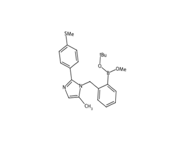 COB(OC(C)(C)C)c1ccccc1Cn1c(C)cnc1-c1ccc(SC)cc1